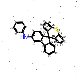 c1ccc(Nc2ccc3c(c2)-c2ccccc2C32c3ccccc3Sc3ccccc32)cc1